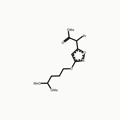 COC(=O)C(c1cc(OCCCC(OC)OC)no1)C(C)C